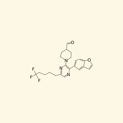 O=CC1CCN(c2nc(CCCCC(F)(F)F)cnc2-c2ccc3occc3c2)CC1